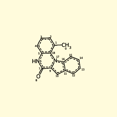 Cc1cccc2[nH]c(=O)c3cc4ccccc4n3c12